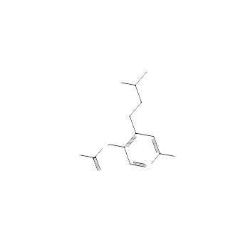 CC(O)CCc1cc(Cl)ncc1NC(=O)O